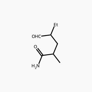 CCC(C=O)CC(C)C(N)=O